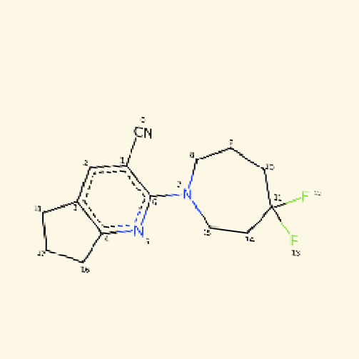 N#Cc1cc2c(nc1N1CCCC(F)(F)CC1)CCC2